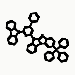 c1ccc(-c2cc(-n3c4ccccc4c4ccccc43)nc(-n3c4ccccc4n4c5cc([Si](c6ccccc6)(c6ccccc6)c6ccccc6)ccc5nc34)c2)cc1